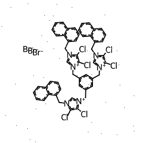 Clc1c(Cl)[n+](Cc2cc(C[n+]3cn(Cc4cccc5ccccc45)c(Cl)c3Cl)cc(C[n+]3cn(Cc4cccc5ccccc45)c(Cl)c3Cl)c2)cn1Cc1cccc2ccccc12.[Br-].[Br-].[Br-]